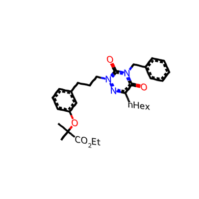 CCCCCCc1nn(CCCc2cccc(OC(C)(C)C(=O)OCC)c2)c(=O)n(Cc2ccccc2)c1=O